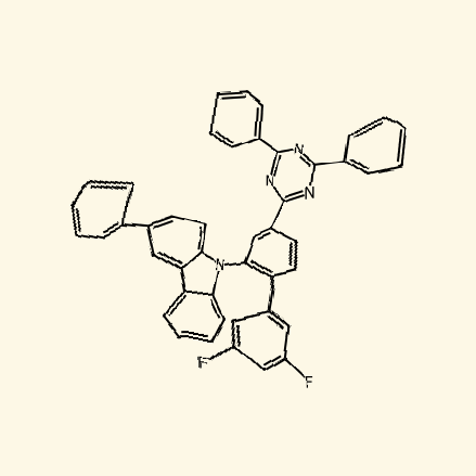 Fc1cc(F)cc(-c2ccc(-c3nc(-c4ccccc4)nc(-c4ccccc4)n3)cc2-n2c3ccccc3c3cc(-c4ccccc4)ccc32)c1